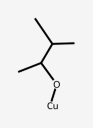 CC(C)C(C)[O][Cu]